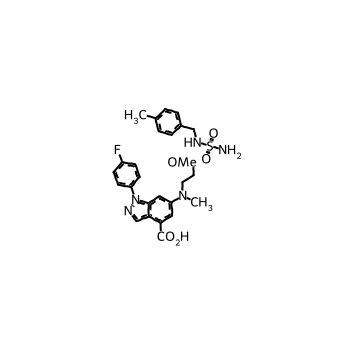 COCCN(C)c1cc(C(=O)O)c2cnn(-c3ccc(F)cc3)c2c1.Cc1ccc(CNS(N)(=O)=O)cc1